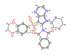 O=C1c2ccccc2C(=O)N1c1c(S(=O)(=O)c2ccc3c(c2)OCCO3)c2nccnc2n1C1CCCCC1